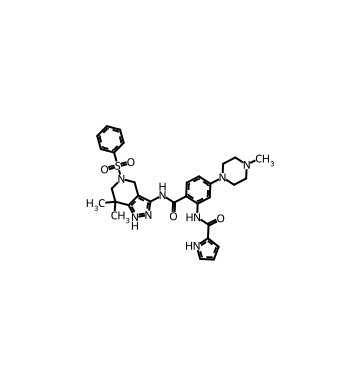 CN1CCN(c2ccc(C(=O)Nc3n[nH]c4c3CN(S(=O)(=O)c3ccccc3)CC4(C)C)c(NC(=O)c3ccc[nH]3)c2)CC1